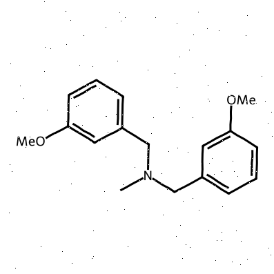 COc1cccc(CN(C)Cc2cccc(OC)c2)c1